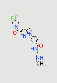 C=CNCCNC(=O)c1ccc(-n2ccc3cc(C(=O)N4CCC(F)(F)CC4)cnc32)cc1